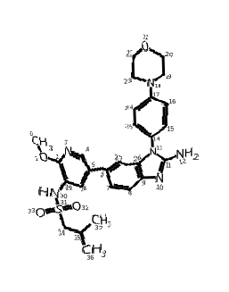 COc1ncc(-c2ccc3nc(N)n(-c4ccc(N5CCOCC5)cc4)c3c2)cc1NS(=O)(=O)CC(C)C